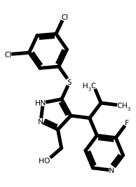 CC(C)C(c1ccncc1F)c1c(CO)n[nH]c1Sc1cc(Cl)cc(Cl)c1